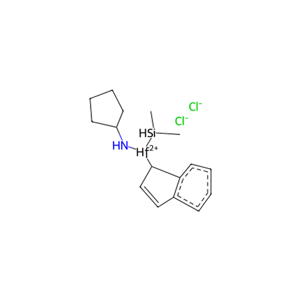 C[SiH](C)[Hf+2]([NH]C1CCCC1)[CH]1C=Cc2ccccc21.[Cl-].[Cl-]